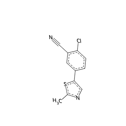 Cc1ncc(-c2ccc(Cl)c(C#N)c2)s1